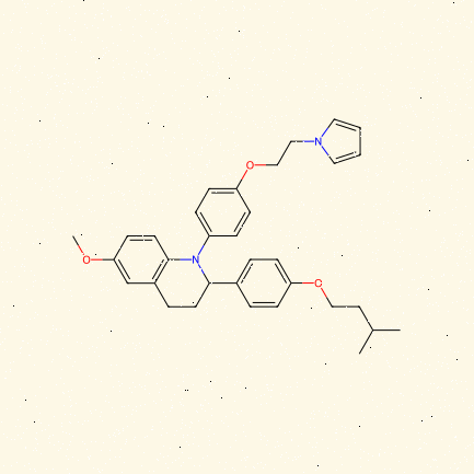 COc1ccc2c(c1)CCC(c1ccc(OCCC(C)C)cc1)N2c1ccc(OCCn2cccc2)cc1